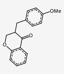 COc1ccc(CC2COc3ccccc3C2=O)cc1